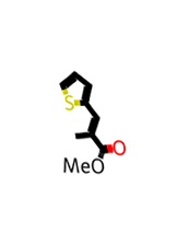 COC(=O)/C(C)=C/c1cccs1